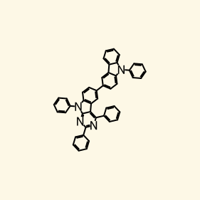 c1ccc(-c2nc(-c3ccccc3)c3c4cc(-c5ccc6c(c5)c5ccccc5n6-c5ccccc5)ccc4n(-c4ccccc4)c3n2)cc1